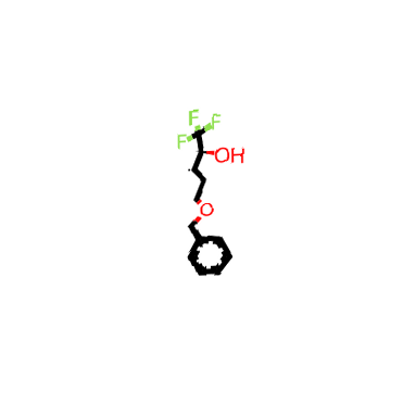 O[C@@H]([CH]CCOCc1ccccc1)C(F)(F)F